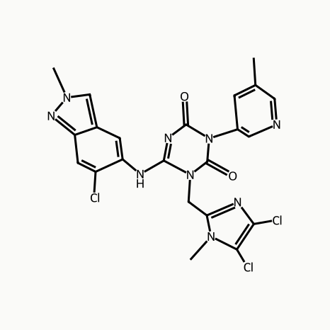 Cc1cncc(-n2c(=O)nc(Nc3cc4cn(C)nc4cc3Cl)n(Cc3nc(Cl)c(Cl)n3C)c2=O)c1